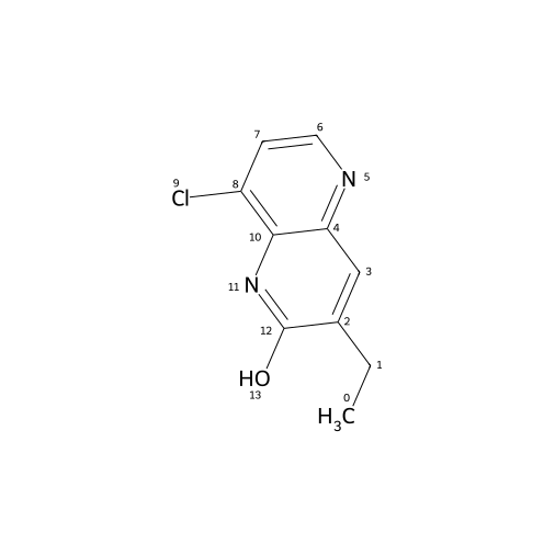 CCc1cc2nccc(Cl)c2nc1O